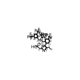 CCc1cnc(CC(=O)O)nc1-c1ccc(C(F)(F)F)cc1CN(Cc1cc(C(F)(F)F)cc(C(F)(F)F)c1)c1nnn(C)n1